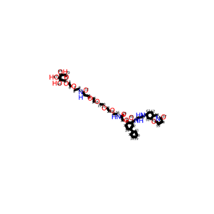 C[C@@H]1O[C@@H](OCCOCCNC(=O)CCOCCOCCOCCOCCNC(=O)COc2ccc(-c3ccccc3)cc2C(=O)NCCNC2CCC(CN3C(=O)C=CC3=O)CC2)[C@H](O)[C@H](O)[C@H]1O